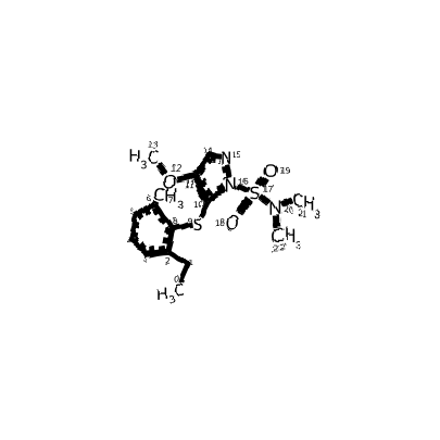 CCc1cccc(C)c1Sc1c(OC)cnn1S(=O)(=O)N(C)C